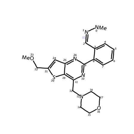 CN/N=C\c1ccccc1-c1nc(CN2CCOCC2)c2sc(COC)cc2n1